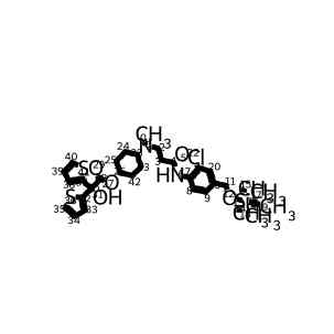 CN(CCC(=O)Nc1ccc(CO[Si](C)(C)C(C)(C)C)cc1Cl)[C@H]1CC[C@H](OC(=O)C(O)(c2cccs2)c2cccs2)CC1